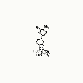 CC(C)(CC1CCCC(c2cnc(N)c(Br)n2)C1)[Si](C)(C)O